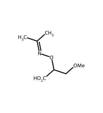 COCC(ON=C(C)C)C(=O)O